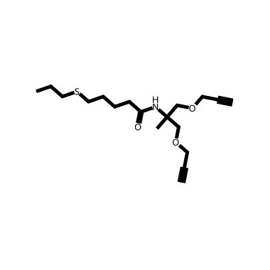 C#CCOCC(C)(COCC#C)NC(=O)CCCCSCCC